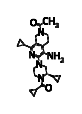 CC(=O)N1CCc2c(N)c(N3CCN(C(=O)C4CC4)[C@H](C4CC4)C3)nc(C3CC3)c2C1